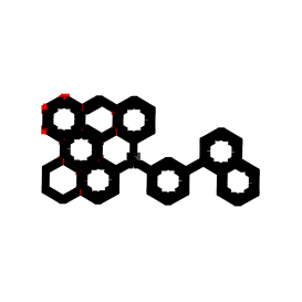 C1=c2cccc(C3CCCCC3)c2=C(c2ccccc2N(c2cccc(-c3cccc4ccccc34)c2)c2ccccc2-c2cccc3ccccc23)CC1